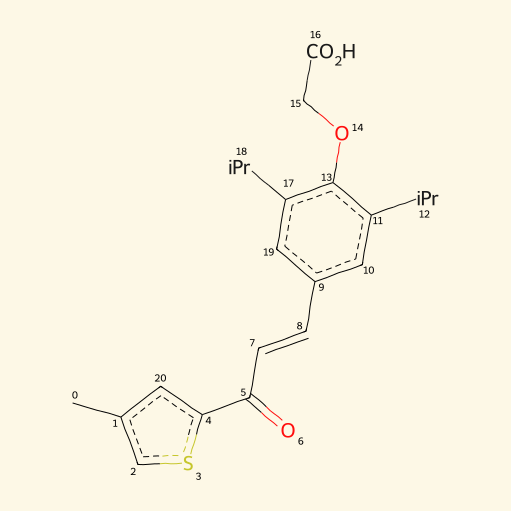 Cc1csc(C(=O)C=Cc2cc(C(C)C)c(OCC(=O)O)c(C(C)C)c2)c1